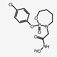 O=C(CN1CCCCOP1(=O)Oc1ccc(Cl)cc1)NO